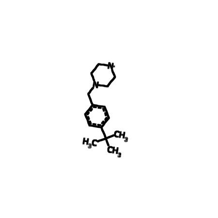 CC(C)(C)c1ccc(CN2CC[N]CC2)cc1